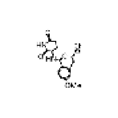 CCO/C=C/c1cc(OC)ccc1C(=O)NC1CCC(=O)NC1=O